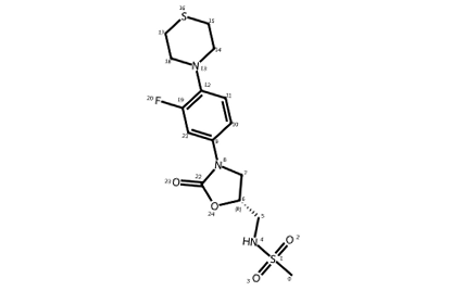 CS(=O)(=O)NC[C@H]1CN(c2ccc(N3CCSCC3)c(F)c2)C(=O)O1